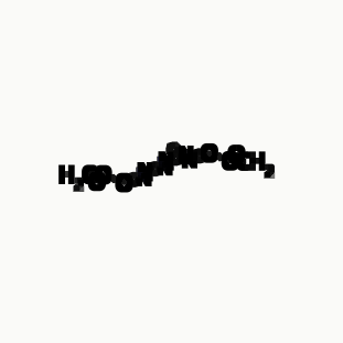 C=CC(=O)OCCCCOc1ccc(/N=N/c2ccc(/N=N/c3ccc(/N=N/c4ccc(OCCCCOC(=O)C=C)cc4)c4ccccc34)cc2)cc1